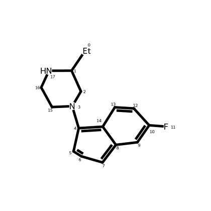 CCC1CN(c2cccc3cc(F)ccc23)CCN1